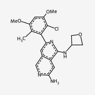 COc1cc(OC)c(Cl)c(-c2cc3cnc(N)cc3c(NC3COC3)n2)c1C